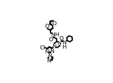 O=C(CC1CN(c2cc(Cl)nc(-n3ccnc3)n2)CCN1C(=O)NC1CCCCC1)NCC1=Cc2occc2OC1